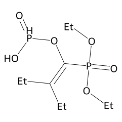 CCOP(=O)(OCC)C(O[PH](=O)O)=C(CC)CC